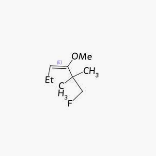 CC/C=C(/OC)C(C)(C)CF